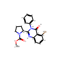 CC(C)(C)OC(=O)N1CCC[C@H]1c1nc2cccc(Br)c2c(=O)n1-c1ccccc1